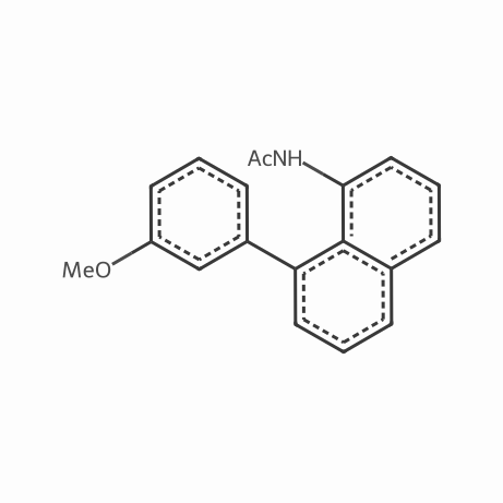 COc1cccc(-c2cccc3cccc(NC(C)=O)c23)c1